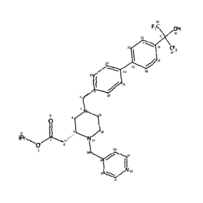 CC(C)OC(=O)C[C@@H]1CN(Cc2ccc(-c3ccc(C(O)(C(F)(F)F)C(F)(F)F)cc3)cc2)CCN1Cc1ccncc1